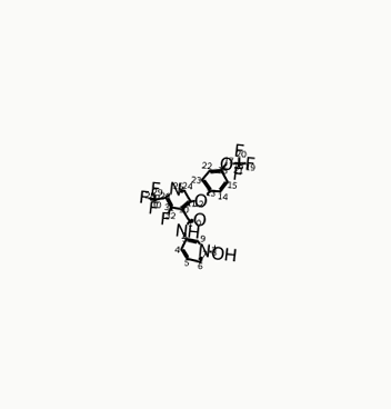 O=C(Nc1ccc[n+](O)c1)c1c(Oc2ccc(OC(F)(F)F)cc2)cnc(C(F)(F)F)c1F